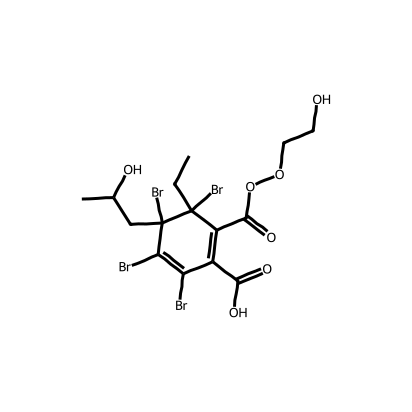 CCC1(Br)C(C(=O)OOCCO)=C(C(=O)O)C(Br)=C(Br)C1(Br)CC(C)O